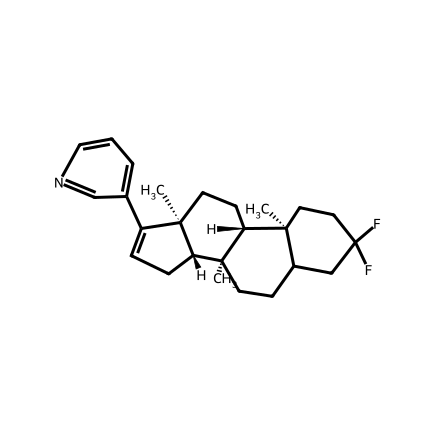 C[C@@]12CCC3CC(F)(F)CC[C@]3(C)[C@H]1CC[C@]1(C)C(c3cccnc3)=CC[C@@H]21